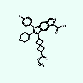 COC(=O)C1CC2(C1)CC(c1c(C3CCOCC3)n(-c3ccc(F)cc3)c3cc4cnn(C(=O)O)c4cc13)C2